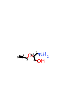 C#CCOC(CN)CO